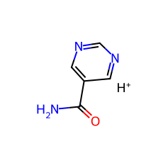 NC(=O)c1cncnc1.[H+]